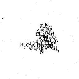 C=CC(=O)N1CCN(C2=C(C#N)C(O)N(c3c(C)ccnc3C(C)C)c3nc(-c4c(N)c(Cl)c(F)c(F)c4Cl)c(Cl)cc32)CC1